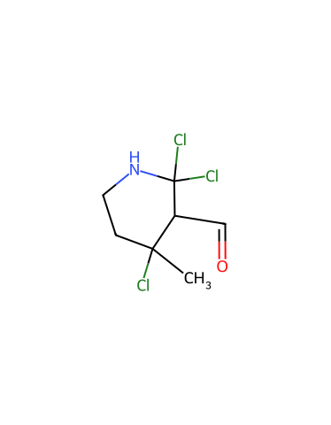 CC1(Cl)CCNC(Cl)(Cl)C1C=O